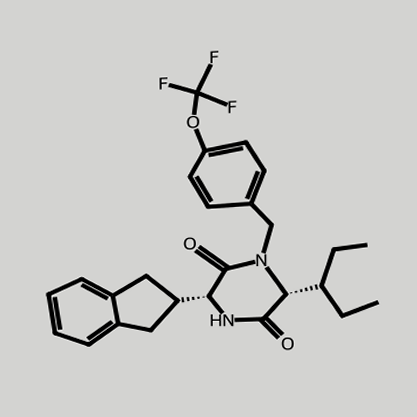 CCC(CC)[C@@H]1C(=O)N[C@H](C2Cc3ccccc3C2)C(=O)N1Cc1ccc(OC(F)(F)F)cc1